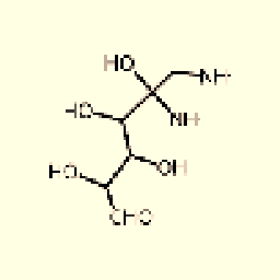 [NH]CC([NH])(O)C(O)C(O)C(O)C=O